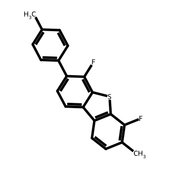 Cc1ccc(-c2ccc3c(sc4c(F)c(C)ccc43)c2F)cc1